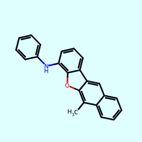 Cc1c2ccccc2cc2c1oc1c(Nc3ccccc3)cccc12